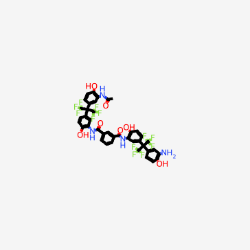 CC(=O)Nc1cc(C(c2ccc(O)c(NC(=O)c3cccc(C(=O)Nc4cc(C(c5ccc(O)c(N)c5)(C(F)(F)F)C(F)(F)F)ccc4O)c3)c2)(C(F)(F)F)C(F)(F)F)ccc1O